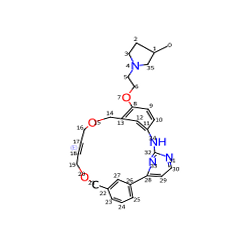 CC1CCN(CCOc2ccc3cc2COC/C=C/COCc2cccc(c2)-c2ccnc(n2)N3)C1